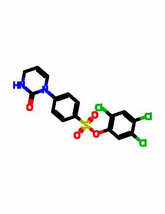 O=C1NCC=CN1c1ccc(S(=O)(=O)Oc2cc(Cl)c(Cl)cc2Cl)cc1